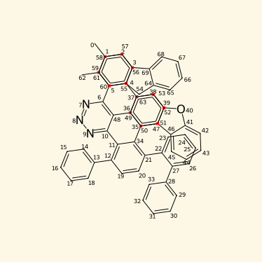 Cc1cc2c(c(-c3nnnc(-c4c(-c5ccccc5)ccc(-c5ccccc5-c5ccccc5)c4-c4cccc5oc6ccccc6c45)c3-c3ccccc3-c3ccccc3)c1C)Cc1ccccc1-2